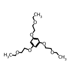 CCOCCOc1cc(OCCOCC)cc(OCCOCC)c1